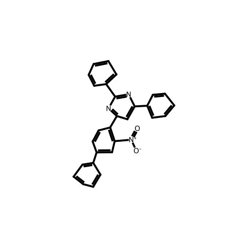 O=[N+]([O-])c1cc(-c2ccccc2)ccc1-c1cc(-c2ccccc2)nc(-c2ccccc2)n1